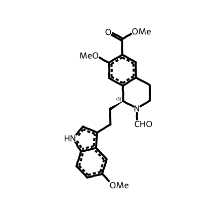 COC(=O)c1cc2c(cc1OC)[C@H](CCc1c[nH]c3ccc(OC)cc13)N(C=O)CC2